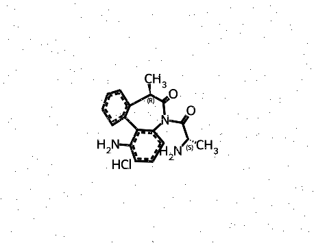 C[C@H](N)C(=O)N1C(=O)[C@H](C)c2ccccc2-c2c(N)cccc21.Cl